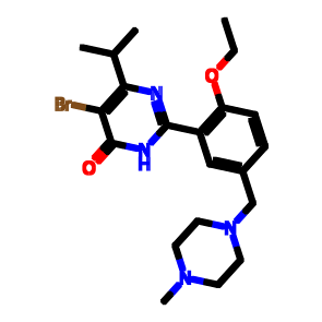 CCOc1ccc(CN2CCN(C)CC2)cc1-c1nc(C(C)C)c(Br)c(=O)[nH]1